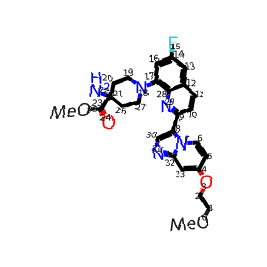 COCCOc1ccn2c(-c3ccc4cc(F)cc(N5CCC(N)(C(=O)OC)CC5)c4n3)cnc2c1